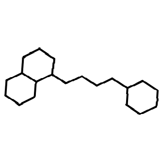 C1CCC(CCCCC2CCCC3CCCCC23)CC1